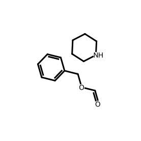 C1CCNCC1.O=COCc1ccccc1